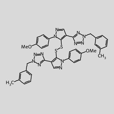 COc1ccc(-n2ncc(-c3nnn(Cc4cccc(C)c4)n3)c2SSc2c(-c3nnn(Cc4cccc(C)c4)n3)cnn2-c2ccc(OC)cc2)cc1